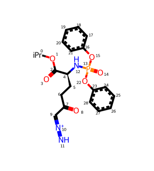 CC(C)OC(=O)[C@H](CCC(=O)C=[N+]=N)NP(=O)(Oc1ccccc1)Oc1ccccc1